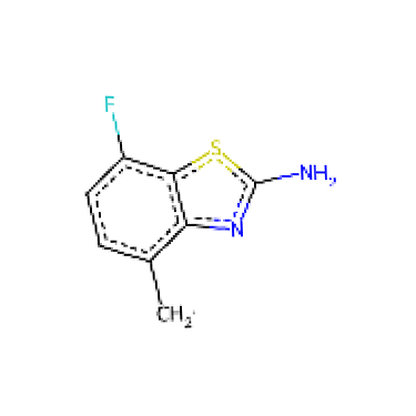 [CH2]c1ccc(F)c2sc(N)nc12